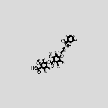 COc1c(C)c(OC(=O)c2c(C)c(C)c(OCCCNC(=O)c3ccccc3)c(C)c2OC)c(C)c(C)c1C(=O)O